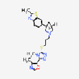 Cc1nc2ccc(C34C[C@@H]3CN(CCCSc3nnc(-c5ocnc5C)n3C)C4)cc2s1